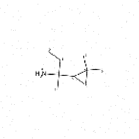 CCC(C)(N)C1CC1(C)C